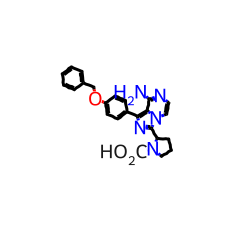 Nc1nccn2c(C3CCCN3C(=O)O)nc(-c3ccc(OCc4ccccc4)cc3)c12